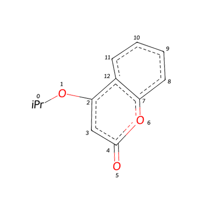 CC(C)Oc1cc(=O)oc2ccccc12